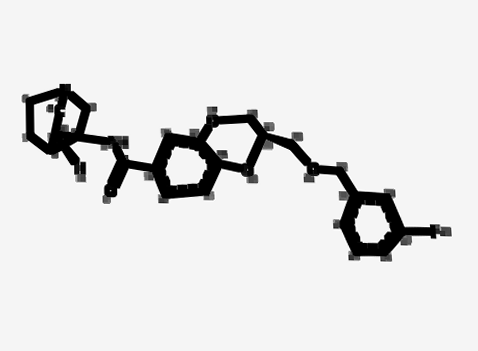 O=C(N[C@H]1CN2CCC1CC2)c1ccc2c(c1)OC[C@@H](COCc1cccc(F)c1)O2